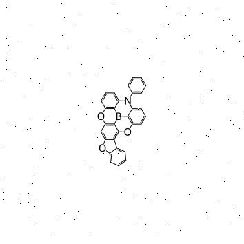 c1ccc(N2c3cccc4c3B3c5c(cccc52)Oc2c3c(cc3oc5ccccc5c23)O4)cc1